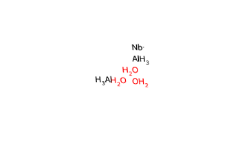 O.O.O.[AlH3].[AlH3].[Nb]